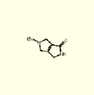 CC(C)(C)N1CC2=C(C1)C(=O)NC2